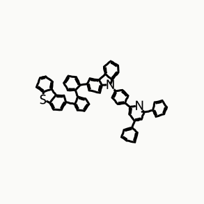 c1ccc(-c2cc(-c3ccccc3)nc(-c3ccc(-n4c5ccccc5c5cc(-c6ccccc6-c6ccccc6-c6ccc7sc8ccccc8c7c6)ccc54)cc3)c2)cc1